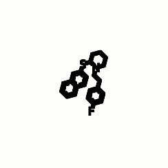 Fc1ccc(CCN2CCCCC2Sc2ccc3ccccc3c2)cc1